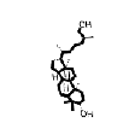 C[C@H](CO)CCC[C@@H](C)[C@H]1CC[C@H]2[C@@H]3CC=C4C(C)(C)[C@@H](O)CC[C@]4(C)[C@H]3CC[C@]12C